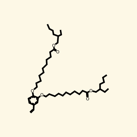 C=Cc1ccc(OCCCCCCCCCCC(=O)OCC(CC)CCCC)c(OCCCCCCCCCCC(=O)OCC(CC)CCCC)c1